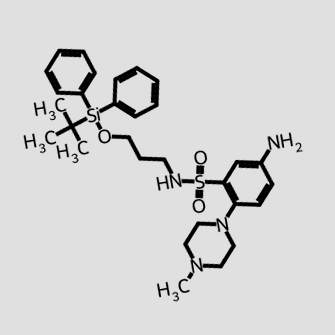 CN1CCN(c2ccc(N)cc2S(=O)(=O)NCCCO[Si](c2ccccc2)(c2ccccc2)C(C)(C)C)CC1